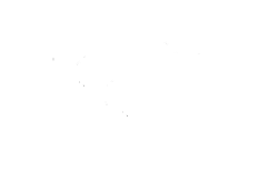 COc1ncc(N(O)C(=O)O)cc1-c1ccc(C=O)o1